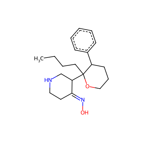 CCCCC1(C2CNCCC2=NO)OCCCC1c1ccccc1